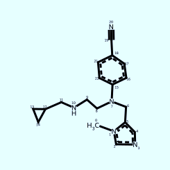 Cn1cncc1CN(CCNCC1CC1)c1ccc(C#N)cc1